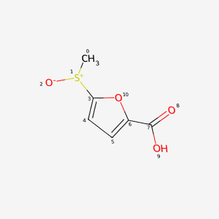 C[S+]([O-])c1ccc(C(=O)O)o1